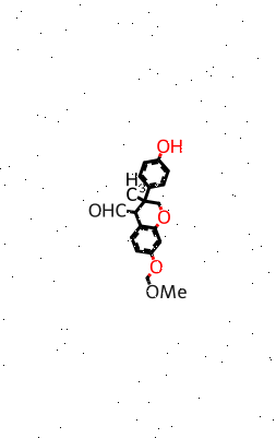 COCOc1ccc2c(c1)OCC(C)(c1ccc(O)cc1)C2C=O